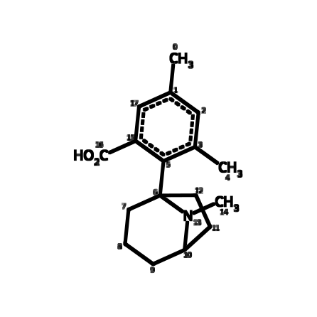 Cc1cc(C)c(C23CCCC(CC2)N3C)c(C(=O)O)c1